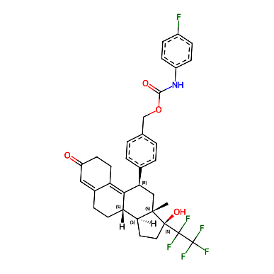 C[C@]12C[C@H](c3ccc(COC(=O)Nc4ccc(F)cc4)cc3)C3=C4CCC(=O)C=C4CC[C@H]3[C@@H]1CC[C@@]2(O)C(F)(F)C(F)(F)F